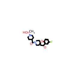 CB(O)N1CCC(C(=O)N2CCC3(CC2)CC(=O)c2cc(F)ccc2O3)CC1